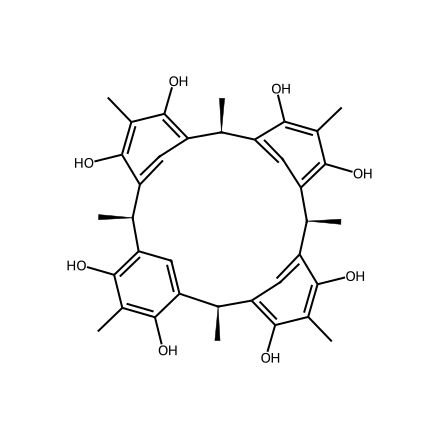 Cc1c(O)c2cc(c1O)[C@H](C)c1cc(c(O)c(C)c1O)[C@H](C)c1cc(c(O)c(C)c1O)[C@H](C)c1cc(c(O)c(C)c1O)[C@@H]2C